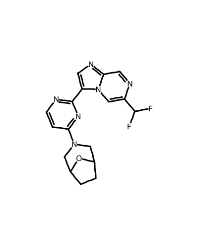 FC(F)c1cn2c(-c3nccc(N4CC5CCC(C4)O5)n3)cnc2cn1